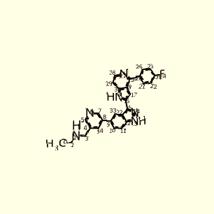 CCNCc1cncc(-c2ccc3[nH]nc(-c4cc5c(-c6ccc(F)cc6)nccc5[nH]4)c3c2)c1